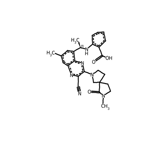 Cc1cc([C@@H](C)Nc2ccccc2C(=O)O)c2nc(N3CCC4(CCN(C)C4=O)C3)c(C#N)nc2c1